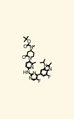 Cc1nc(Nc2ncc(F)c(-c3cc(F)c4nc(C)n(C(C)C)c4c3)n2)ccc1N1CCC(N(C)C(=O)OC(C)(C)C)CC1=O